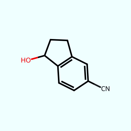 N#Cc1ccc2c(c1)CCC2O